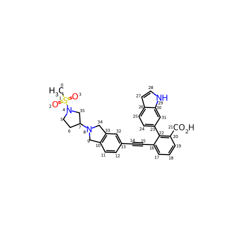 CS(=O)(=O)N1CCC(N2Cc3ccc(C#Cc4cccc(C(=O)O)c4-c4ccc5cc[nH]c5c4)cc3C2)C1